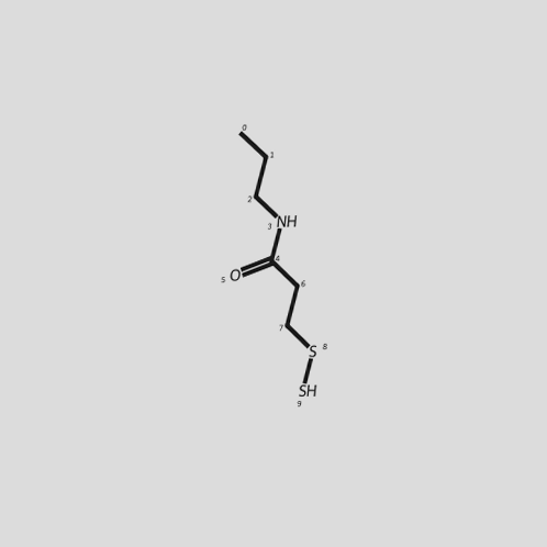 CCCNC(=O)CCSS